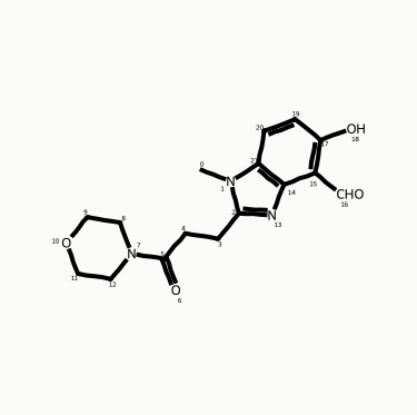 Cn1c(CCC(=O)N2CCOCC2)nc2c(C=O)c(O)ccc21